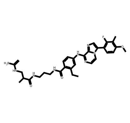 BC(=C)NCC(C)C(=O)NCCCNC(=O)c1ccc(Nc2nccn3c(-c4ccc(OC)c(C)c4F)cnc23)cc1CC